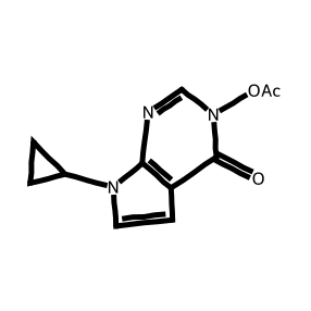 CC(=O)On1cnc2c(ccn2C2CC2)c1=O